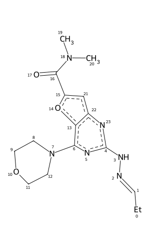 CC/C=N/Nc1nc(N2CCOCC2)c2oc(C(=O)N(C)C)cc2n1